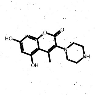 Cc1c(N2CCNCC2)c(=O)oc2cc(O)cc(O)c12